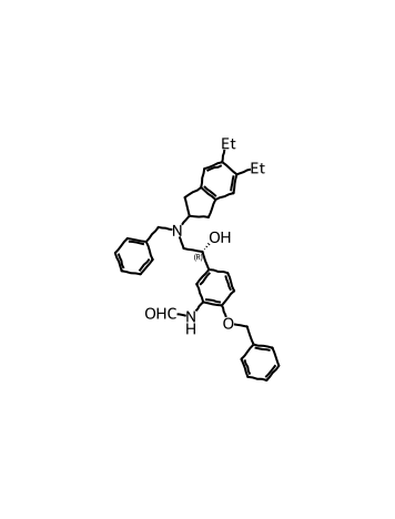 CCc1cc2c(cc1CC)CC(N(Cc1ccccc1)C[C@H](O)c1ccc(OCc3ccccc3)c(NC=O)c1)C2